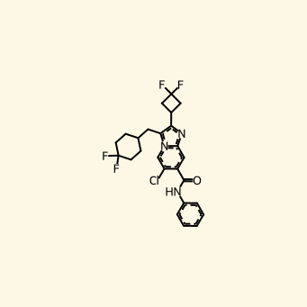 O=C(Nc1ccccc1)c1cc2nc(C3CC(F)(F)C3)c(CC3CCC(F)(F)CC3)n2cc1Cl